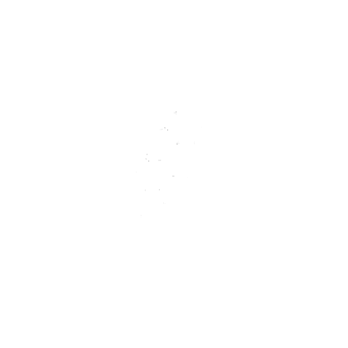 O=C1C=CC(=O)C(c2ccnc3c2ccc2cccnc23)=C1